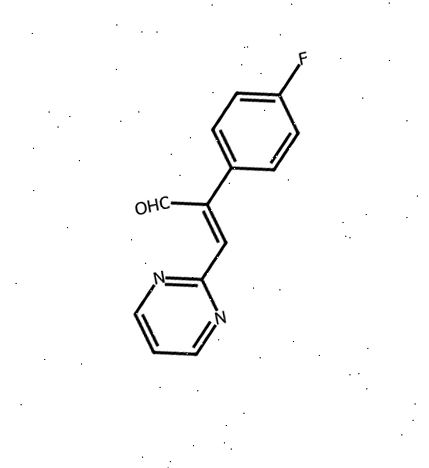 O=C/C(=C\c1ncccn1)c1ccc(F)cc1